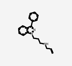 C=CCNCCCn1nc(-c2ccccc2)c2ccccc21